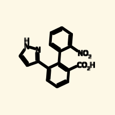 O=C(O)c1cccc(-c2cc[nH]n2)c1-c1ccccc1[N+](=O)[O-]